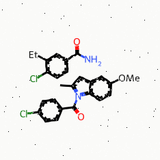 CCc1cc(C(N)=O)ccc1Cl.COc1ccc2c(c1)cc(C)n2C(=O)c1ccc(Cl)cc1